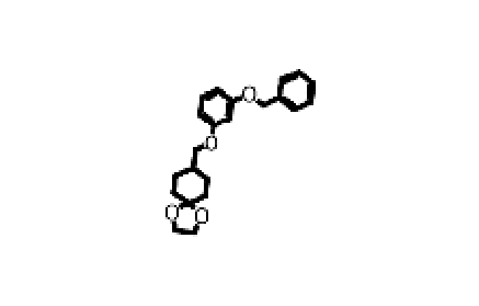 c1ccc(COc2cccc(OCC3CCC4(CC3)OCCO4)c2)cc1